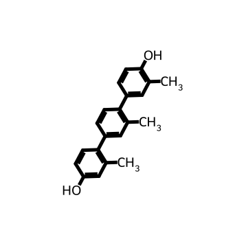 Cc1cc(-c2ccc(-c3ccc(O)cc3C)cc2C)ccc1O